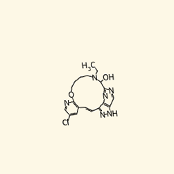 CCN1CCCCOc2ncc(Cl)cc2/C=C/c2n[nH]c3cnc(nc23)C1O